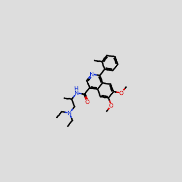 CCN(CC)CC(C)NC(=O)c1cnc(-c2ccccc2C)c2cc(OC)c(OC)cc12